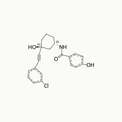 O=C(N[C@H]1CCC[C@@](O)(C#Cc2cccc(Cl)c2)C1)c1ccc(O)cc1